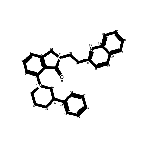 O=C1c2c(cccc2N2CCCC(c3ccccc3)C2)CN1CCc1ccc2ccccc2n1